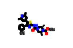 Cc1cc(-c2sc(NC(=O)N3C[C@H](C)N(C(=O)OC(C)(C)C)[C@@H](C)C3)nc2-c2cccc(C#N)c2)cc(C)n1